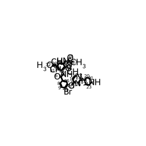 COc1c(NC(=O)c2ccc(Br)c(Oc3ccnc(N4CCNCC4)n3)c2)cc(C(C)(C)C)cc1NS(C)(=O)=O